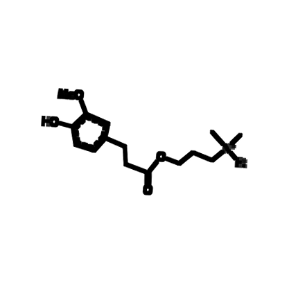 CC[N+](C)(C)CCCOC(=O)CCc1ccc(O)c(OC)c1